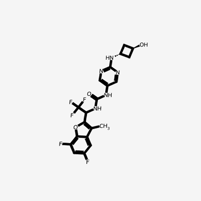 Cc1c(C(NC(=O)Nc2cnc(N[C@H]3C[C@H](O)C3)nc2)C(F)(F)F)oc2c(F)cc(F)cc12